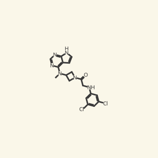 CN(c1ncnc2[nH]ccc12)C1CN(C(=O)CNc2cc(Cl)cc(Cl)c2)C1